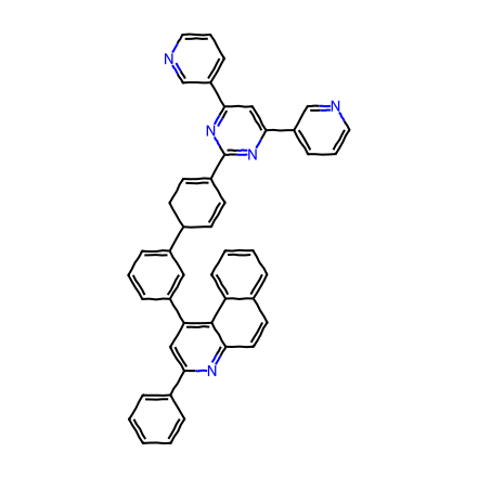 C1=CC(c2cccc(-c3cc(-c4ccccc4)nc4ccc5ccccc5c34)c2)CC=C1c1nc(-c2cccnc2)cc(-c2cccnc2)n1